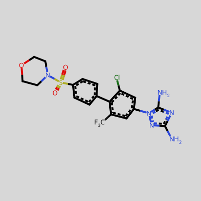 Nc1nc(N)n(-c2cc(Cl)c(-c3ccc(S(=O)(=O)N4CCOCC4)cc3)c(C(F)(F)F)c2)n1